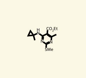 CCOC(=O)c1c(C)nc(SC)nc1NC1(C)CC1